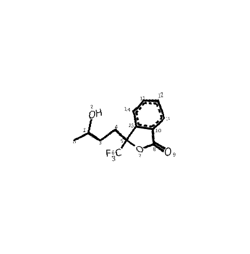 CC(O)CCC1(C(F)(F)F)OC(=O)c2ccccc21